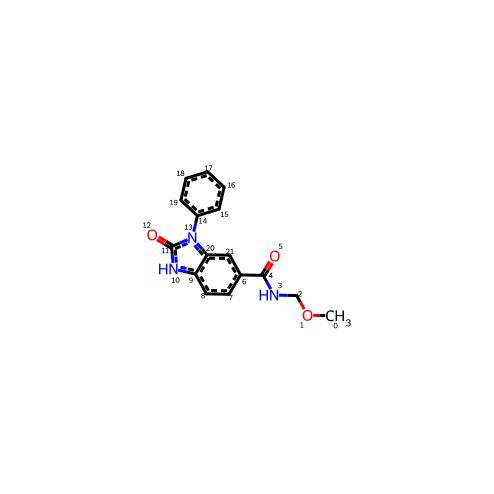 COCNC(=O)c1ccc2[nH]c(=O)n(-c3ccccc3)c2c1